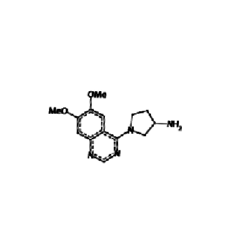 COc1cc2ncnc(N3CCC(N)C3)c2cc1OC